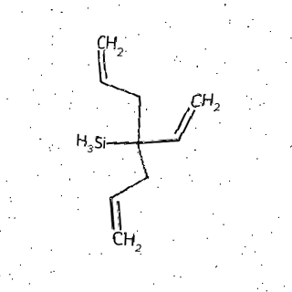 C=CCC([SiH3])(C=C)CC=C